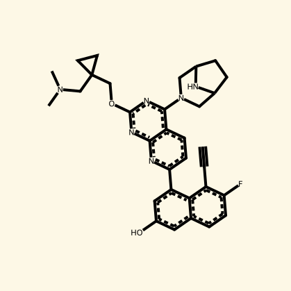 C#Cc1c(F)ccc2cc(O)cc(-c3ccc4c(N5CC6CCC(C5)N6)nc(OCC5(CN(C)C)CC5)nc4n3)c12